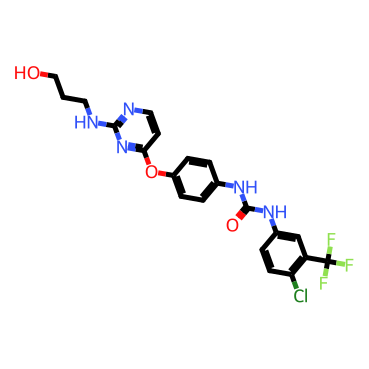 O=C(Nc1ccc(Oc2ccnc(NCCCO)n2)cc1)Nc1ccc(Cl)c(C(F)(F)F)c1